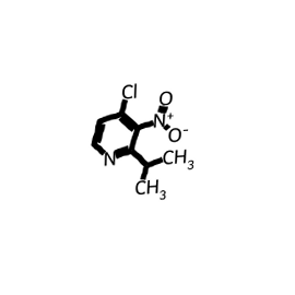 CC(C)c1nccc(Cl)c1[N+](=O)[O-]